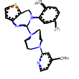 COc1ccnc(N2CCN(C3=Nc4ccsc4CN3c3cc(C(F)(F)F)ccc3OC)CC2)c1